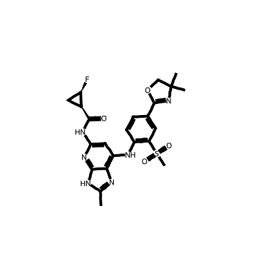 Cc1nc2c(Nc3ccc(C4=NC(C)(C)CO4)cc3S(C)(=O)=O)cc(NC(=O)[C@H]3C[C@H]3F)nc2[nH]1